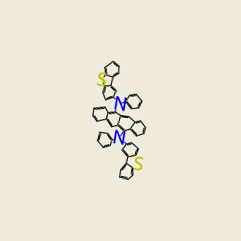 c1ccc(N(c2ccc3sc4ccccc4c3c2)c2c3ccccc3cc3c(N(c4ccccc4)c4ccc5sc6ccccc6c5c4)c4ccccc4cc23)cc1